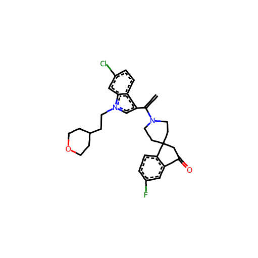 C=C(c1cn(CCC2CCOCC2)c2cc(Cl)ccc12)N1CCC2(CC1)CC(=O)c1cc(F)ccc12